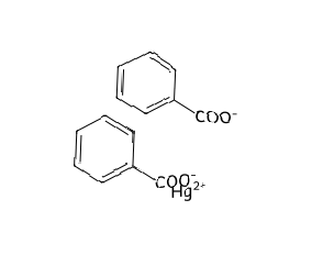 O=C([O-])c1ccccc1.O=C([O-])c1ccccc1.[Hg+2]